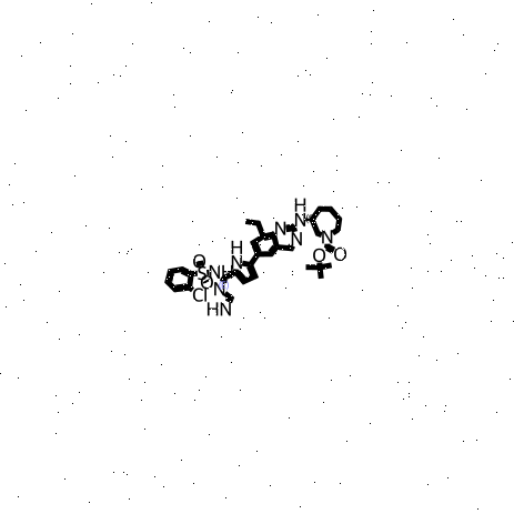 CCc1cc(-c2ccc(/C(=N\C=N)NS(=O)(=O)c3ccccc3Cl)[nH]2)cc2cnc(N[C@H]3CCCCN(C(=O)OC(C)(C)C)C3)nc12